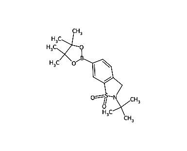 CC(C)(C)N1Cc2ccc(B3OC(C)(C)C(C)(C)O3)cc2S1(=O)=O